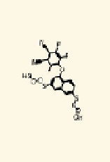 N#Cc1c(F)c(F)c(Oc2cc(SOOO)cc3cc(SOOO)ccc23)c(F)c1C#N